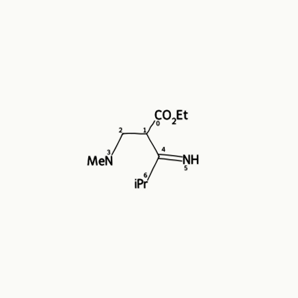 CCOC(=O)C(CNC)C(=N)C(C)C